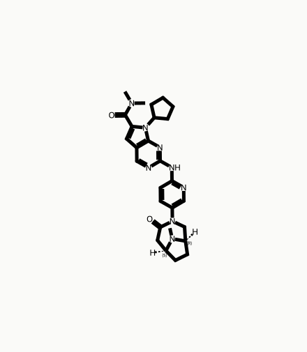 CN(C)C(=O)c1cc2cnc(Nc3ccc(N4C[C@H]5CC[C@@H](CC4=O)N5C)cn3)nc2n1C1CCCC1